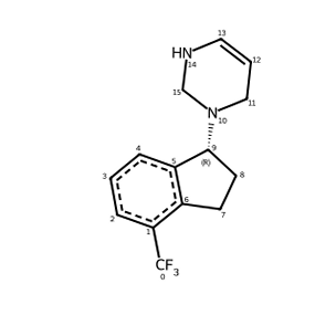 FC(F)(F)c1cccc2c1CC[C@H]2N1CC=CNC1